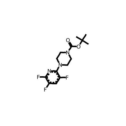 CC(C)(C)OC(=O)N1CCN(c2nc(F)c(F)cc2F)CC1